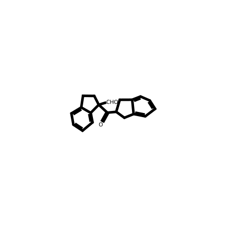 O=[C]C1(C(=O)C2Cc3ccccc3C2)CCc2ccccc21